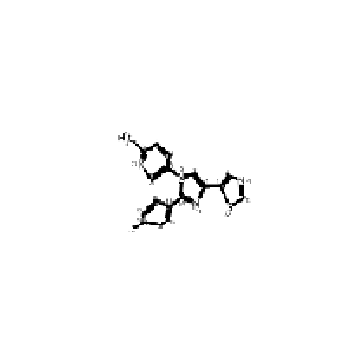 Cc1ccc(-n2cc(-c3cncs3)nc2-c2ccc(I)cc2)cn1